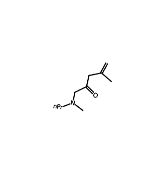 C=C(C)CC(=O)CN(C)CCC